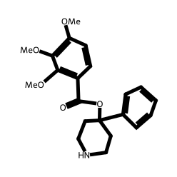 COc1ccc(C(=O)OC2(c3ccccc3)CCNCC2)c(OC)c1OC